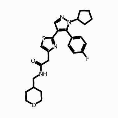 O=C(Cc1csc(-c2cnn(C3CCCC3)c2-c2ccc(F)cc2)n1)NCC1CCOCC1